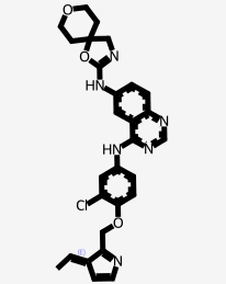 C/C=C1\C=CN=C1COc1ccc(Nc2ncnc3ccc(NC4=NCC5(CCOCC5)O4)cc23)cc1Cl